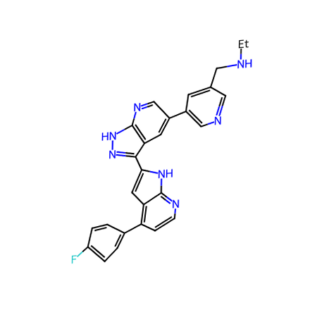 CCNCc1cncc(-c2cnc3[nH]nc(-c4cc5c(-c6ccc(F)cc6)ccnc5[nH]4)c3c2)c1